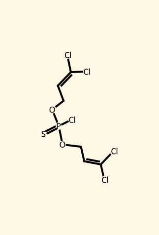 S=P(Cl)(OCC=C(Cl)Cl)OCC=C(Cl)Cl